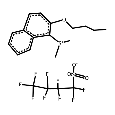 CCCCOc1ccc2ccccc2c1[S+](C)C.O=S(=O)([O-])C(F)(F)C(F)(F)C(F)(F)C(F)(F)F